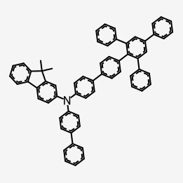 CC1(C)c2ccccc2-c2ccc(N(c3ccc(-c4ccccc4)cc3)c3ccc(-c4ccc(-c5c(-c6ccccc6)cc(-c6ccccc6)cc5-c5ccccc5)cc4)cc3)cc21